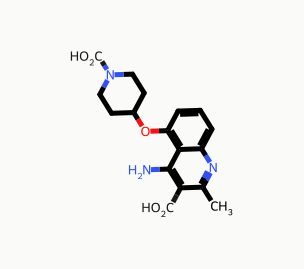 Cc1nc2cccc(OC3CCN(C(=O)O)CC3)c2c(N)c1C(=O)O